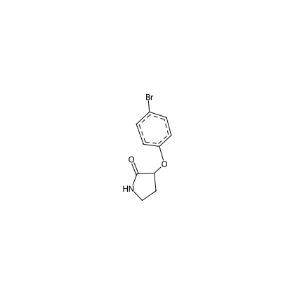 O=C1NCCC1Oc1ccc(Br)cc1